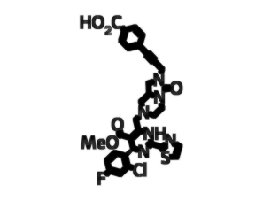 COC(=O)C1=C(CN2CCN3C(=O)N(CC#Cc4ccc(C(=O)O)cc4)CC3C2)NC(c2nccs2)=N[C@H]1c1ccc(F)cc1Cl